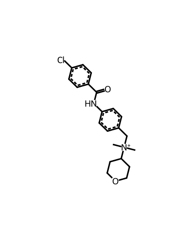 C[N+](C)(Cc1ccc(NC(=O)c2ccc(Cl)cc2)cc1)C1CCOCC1